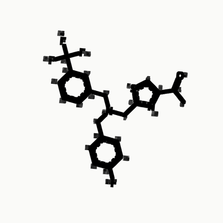 CC(=O)c1csc(CN(Cc2ccc(F)cc2)Cc2cccc(C(F)(F)F)c2)n1